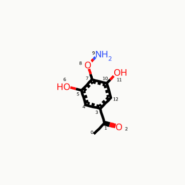 CC(=O)c1cc(O)c(ON)c(O)c1